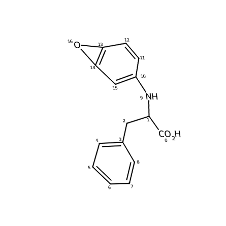 O=C(O)C(Cc1ccccc1)Nc1ccc2c(c1)O2